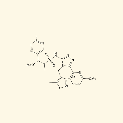 CCc1noc(C)c1Cn1c(NS(=O)(=O)C(C)C(OC)c2cnc(C)cn2)nnc1-c1cccc(OC)n1